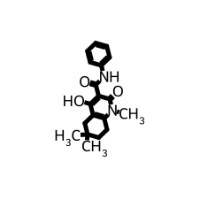 Cn1c2c(c(O)c(C(=O)Nc3ccccc3)c1=O)CC(C)(C)CC2